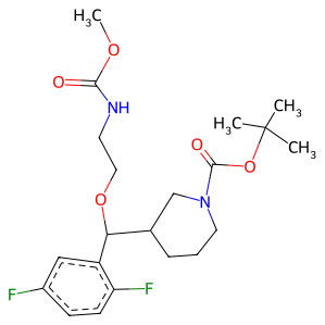 COC(=O)NCCOC(c1cc(F)ccc1F)C1CCCN(C(=O)OC(C)(C)C)C1